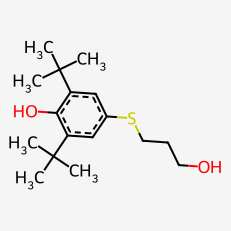 CC(C)(C)c1cc(SCCCO)cc(C(C)(C)C)c1O